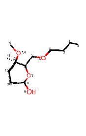 CCCCOCC1OC(O)CC[C@@]1(C)OC